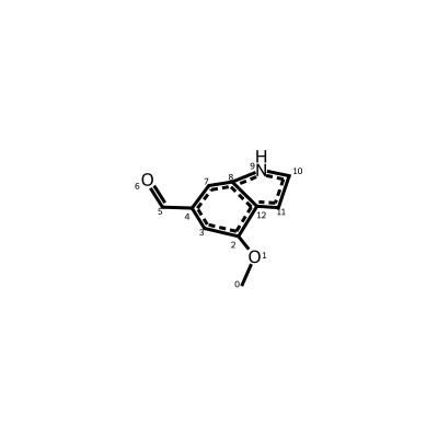 COc1cc(C=O)cc2[nH]ccc12